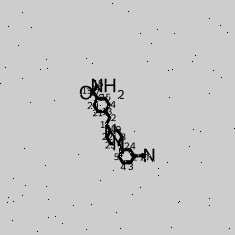 N#Cc1cccc(N2CCN(CCC3CCC(C(N)=O)CC3)CC2)c1